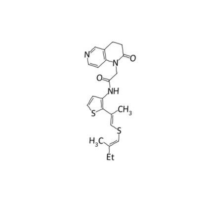 CC/C(C)=C/S/C=C(\C)c1sccc1NC(=O)CN1C(=O)CCc2cnccc21